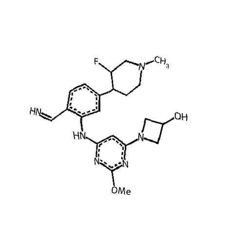 COc1nc(Nc2cc(C3CCN(C)CC3F)ccc2C=N)cc(N2CC(O)C2)n1